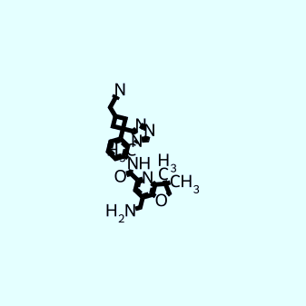 Cn1cnnc1C1(c2cccc(NC(=O)c3cc(CN)c4c(n3)C(C)(C)CO4)c2)CC(CC#N)C1